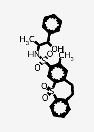 Cc1cc2c(cc1S(=O)(=O)NC(C)C(O)c1ccccc1)S(=O)(=O)c1ccccc1CC2